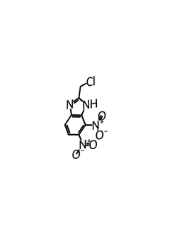 O=[N+]([O-])c1ccc2nc(CCl)[nH]c2c1[N+](=O)[O-]